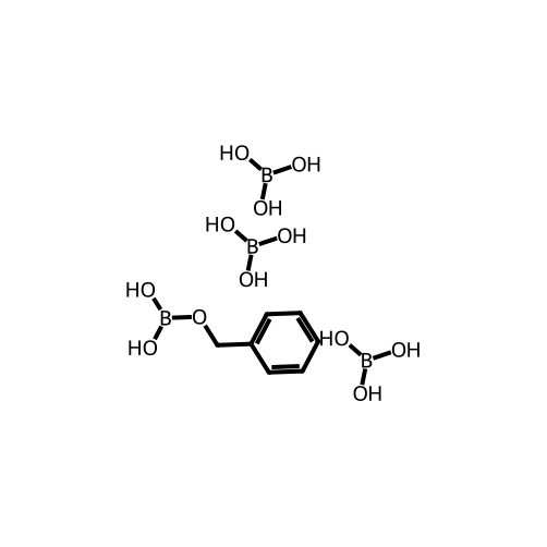 OB(O)O.OB(O)O.OB(O)O.OB(O)OCc1ccccc1